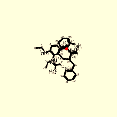 CCNc1ccc(C(N)=O)c([C@@H](CC(=O)O)C(Cc2ccccc2)c2c[nH]c3ccccc23)c1NCC